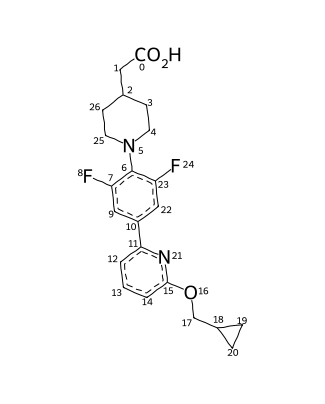 O=C(O)CC1CCN(c2c(F)cc(-c3cccc(OCC4CC4)n3)cc2F)CC1